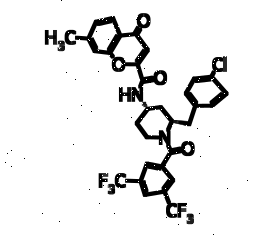 Cc1ccc2c(=O)cc(C(=O)N[C@H]3CCN(C(=O)c4cc(C(F)(F)F)cc(C(F)(F)F)c4)[C@H](Cc4ccc(Cl)cc4)C3)oc2c1